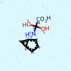 NC(O)(O)C(=O)O.c1cc2cc-2c1